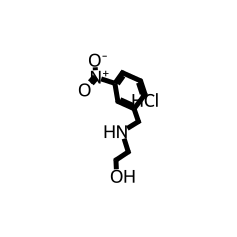 Cl.O=[N+]([O-])c1cccc(CNCCO)c1